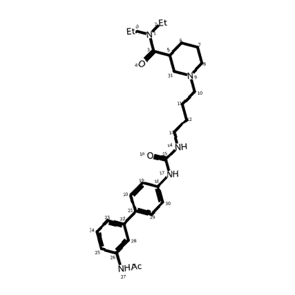 CCN(CC)C(=O)C1CCCN(CCCCNC(=O)Nc2ccc(-c3cccc(NC(C)=O)c3)cc2)C1